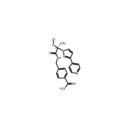 CCO[C@](OC(C)=O)(C(=O)NCc1ccc(C(=N)N)cc1)n1ccc(-c2ccncc2)n1